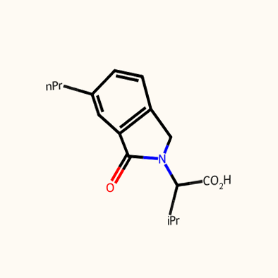 CCCc1ccc2c(c1)C(=O)N(C(C(=O)O)C(C)C)C2